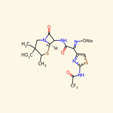 CON=C(C(=O)NC1C(=O)N2CC(C)(C(=O)O)C(C)S[C@H]12)c1csc(NC(=O)C(F)(F)F)n1